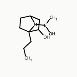 CCCC12CCC(CC1O)N2B(C)O